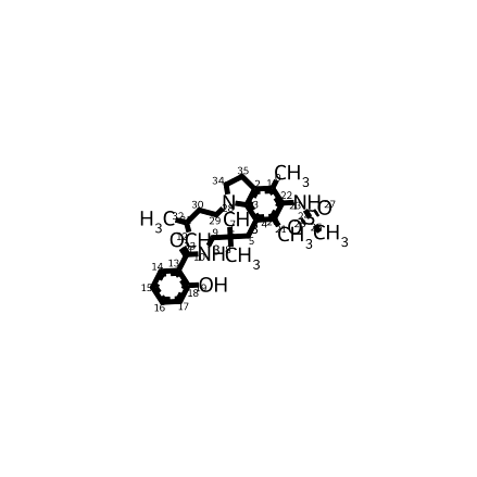 Cc1c2c(c(CC(C)(C)CNC(=O)c3ccccc3O)c(C)c1NS(C)(=O)=O)N(CCC(C)C)CC2